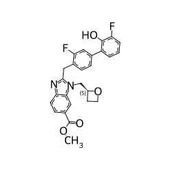 COC(=O)c1ccc2nc(Cc3ccc(-c4cccc(F)c4O)cc3F)n(C[C@@H]3CCO3)c2c1